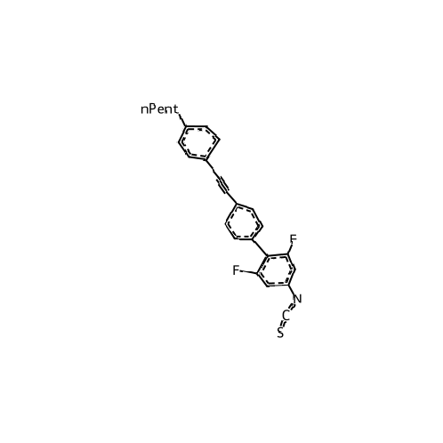 CCCCCc1ccc(C#Cc2ccc(-c3c(F)cc(N=C=S)cc3F)cc2)cc1